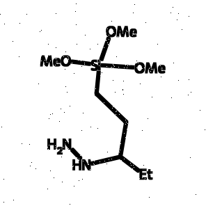 CCC(CC[Si](OC)(OC)OC)NN